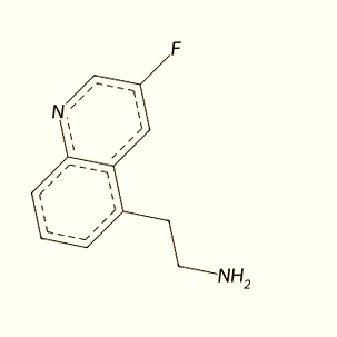 NCCc1cccc2ncc(F)cc12